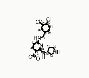 O=[N+]([O-])c1ccc(NCc2ccc(Cl)c(Cl)c2)nc1N[C@H]1CCNC1